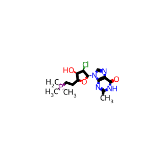 C=P(C)(C)CCC1O[C@@H](n2cnc3c(=O)[nH]c(C)nc32)[C@H](Cl)[C@@H]1O